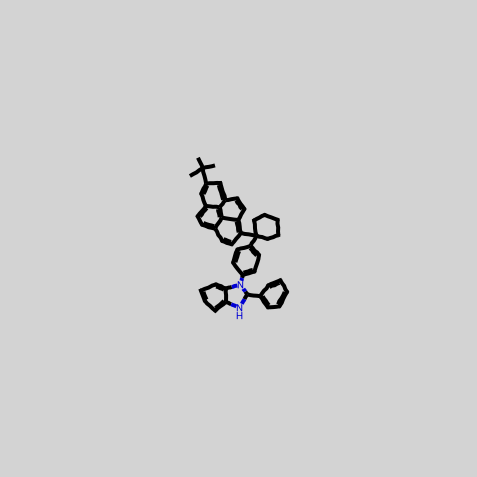 CC(C)(C)c1cc2ccc3ccc(C4(c5ccc(N6c7ccccc7NC6c6ccccc6)cc5)CCCCC4)c4ccc(c1)c2c34